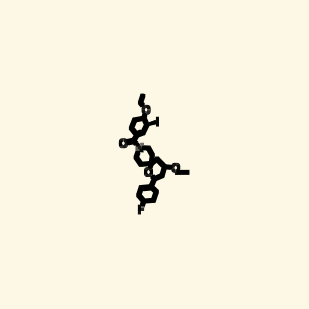 CCOC1CC(C2=CCC(F)CC2)OC2(CCN(C(=O)C3=C[C@H](I)C(OCC)CC3)CC2)C1